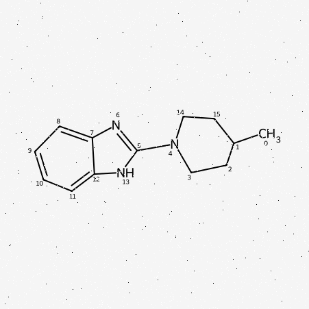 CC1CCN(c2nc3ccccc3[nH]2)CC1